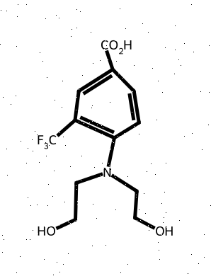 O=C(O)c1ccc(N(CCO)CCO)c(C(F)(F)F)c1